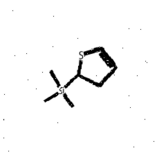 C[Si](C)(C)[C]1CC=CS1